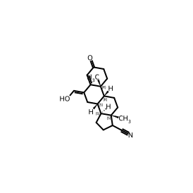 C[C@]12CCC(=O)C=C1C(=CO)C[C@@H]1[C@H]2CC[C@]2(C)C(C#N)CC[C@@H]12